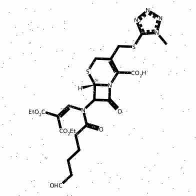 CCOC(=O)C(=CN(C(=O)CCCCC=O)C1C(=O)N2C(C(=O)O)=C(CSc3nnnn3C)CS[C@@H]12)C(=O)OCC